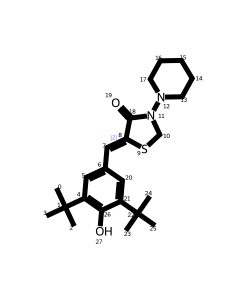 CC(C)(C)c1cc(/C=C2\SCN(N3CCCCC3)C2=O)cc(C(C)(C)C)c1O